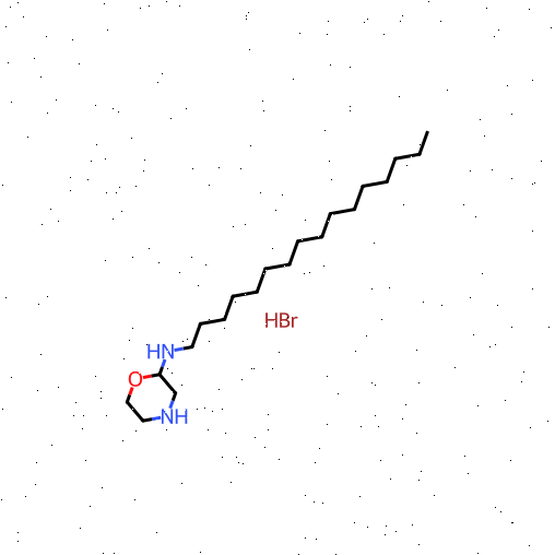 Br.CCCCCCCCCCCCCCCCNC1CNCCO1